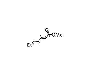 CC/C=C/C=C/C(=O)OC